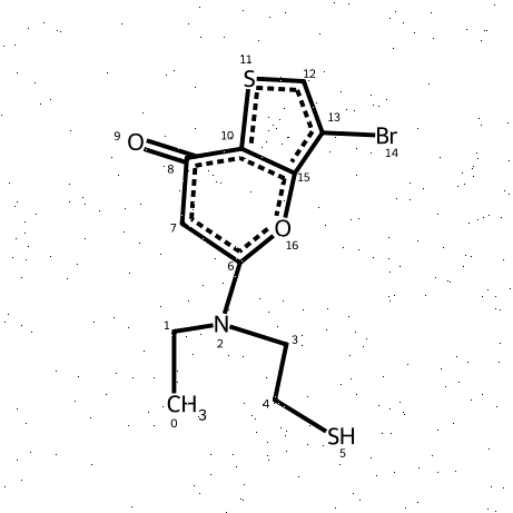 CCN(CCS)c1cc(=O)c2scc(Br)c2o1